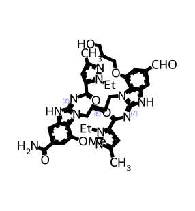 CCn1nc(C)cc1C(=O)/N=c1/[nH]c2cc(C(N)=O)cc(OC)c2n1C/C=C/Cn1/c(=N\C(=O)c2cc(C)nn2CC)[nH]c2cc(C=O)cc(OCCCO)c21